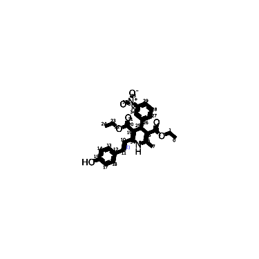 CCOC(=O)C1=C(C)NC(/C=C/c2ccc(O)cc2)=C(C(=O)OCC)C1c1cccc([N+](=O)[O-])c1